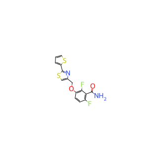 NC(=O)c1c(F)ccc(OCc2csc(-c3cccs3)n2)c1F